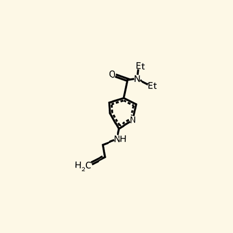 C=CCNc1ccc(C(=O)N(CC)CC)cn1